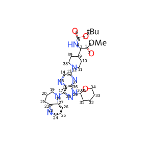 COC(=O)C(NC(=O)OC(C)(C)C)C1CCN(c2cnc3c(N4CCCc5ncccc54)nn(C4CCCCO4)c3n2)CC1